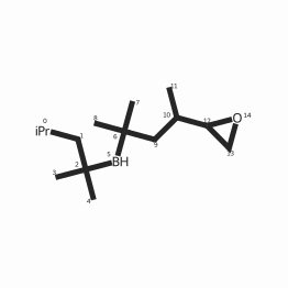 CC(C)CC(C)(C)BC(C)(C)CC(C)C1CO1